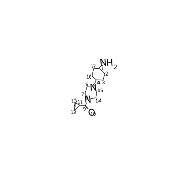 NC1CCC(N2CCN(C(=O)C3CC3)CC2)CC1